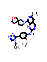 CCn1cnnc1-c1ccc(Nc2ncc3cc(C)nc(N4CCC5(CCOC5)C4)c3n2)c(OC)c1